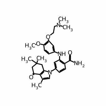 COc1ccc(Nc2cc(-n3cc(C)c4c3CC(C)(C)CC4=O)ccc2C(N)=O)cc1OCCN(C)C